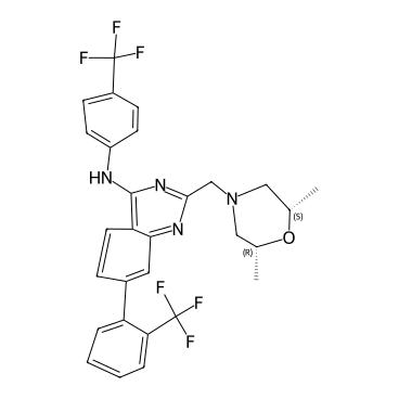 C[C@@H]1CN(Cc2nc(Nc3ccc(C(F)(F)F)cc3)c3ccc(-c4ccccc4C(F)(F)F)cc3n2)C[C@H](C)O1